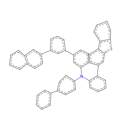 c1ccc(-c2ccc(N(c3cccc(-c4cccc(-c5ccc6ccccc6c5)c4)c3)c3ccccc3-c3ccc4c(c3)sc3ccccc34)cc2)cc1